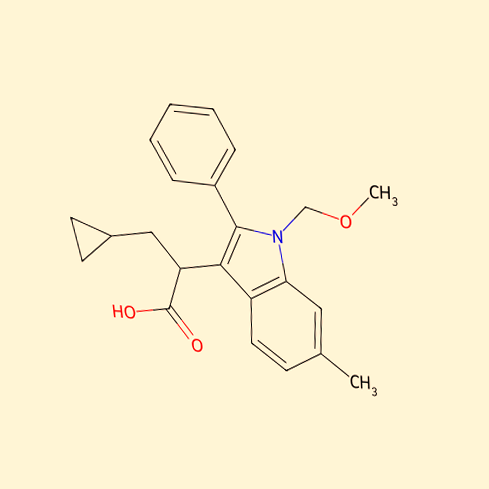 COCn1c(-c2ccccc2)c(C(CC2CC2)C(=O)O)c2ccc(C)cc21